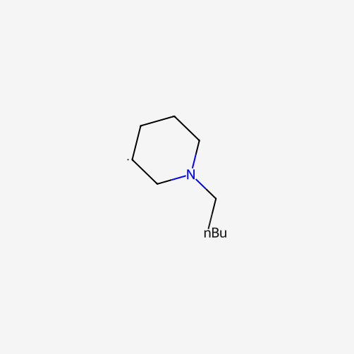 CCCCCN1C[CH]CCC1